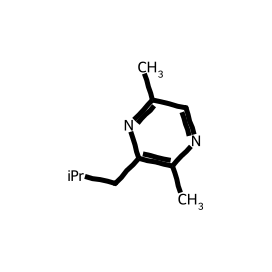 Cc1cnc(C)c(CC(C)C)n1